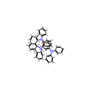 c1ccc(N(c2ccccc2)c2ccc(-n3c4ccccc4c4ccc5ccc6c7ccccc7n(-c7ccccc7)c6c5c43)cc2)cc1